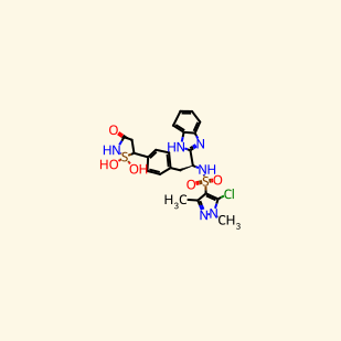 Cc1nn(C)c(Cl)c1S(=O)(=O)N[C@@H](Cc1ccc(C2CC(=O)NS2(O)O)cc1)c1nc2ccccc2[nH]1